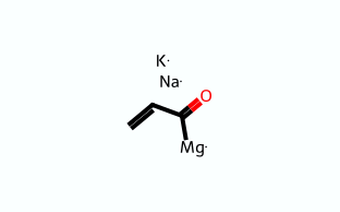 C=C[C](=O)[Mg].[K].[Na]